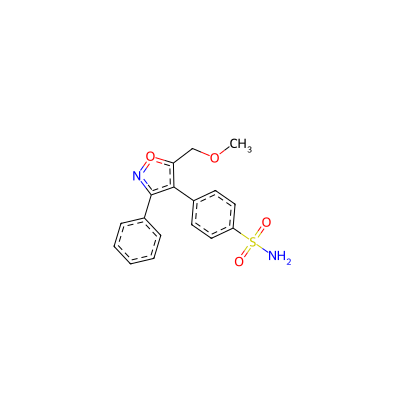 COCc1onc(-c2ccccc2)c1-c1ccc(S(N)(=O)=O)cc1